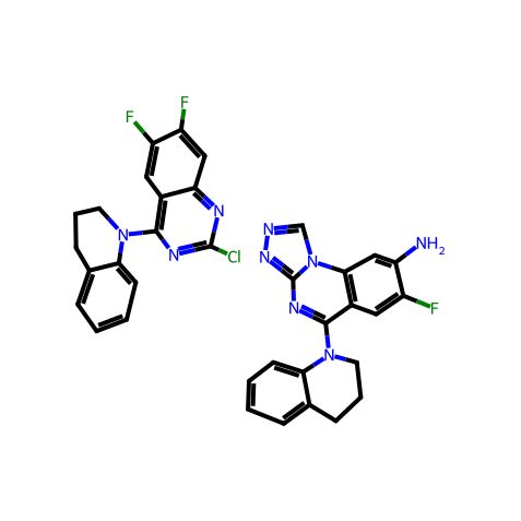 Fc1cc2nc(Cl)nc(N3CCCc4ccccc43)c2cc1F.Nc1cc2c(cc1F)c(N1CCCc3ccccc31)nc1nncn12